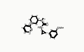 COc1cccc([C@@H]2C[C@H]2NC(=O)N(C)[C@@H]2CCCN(c3cccnn3)C2)c1